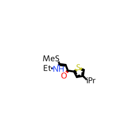 CCN/C(=C\C(=O)c1cc(C(C)C)cs1)SC